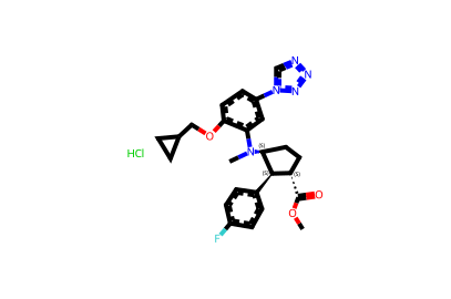 COC(=O)[C@H]1CC[C@H](N(C)c2cc(-n3cnnn3)ccc2OCC2CC2)[C@@H]1c1ccc(F)cc1.Cl